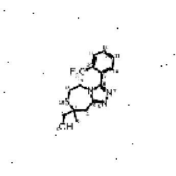 CC1(CO)Cc2nnc(-c3ccccc3C(F)(F)F)n2CCS1